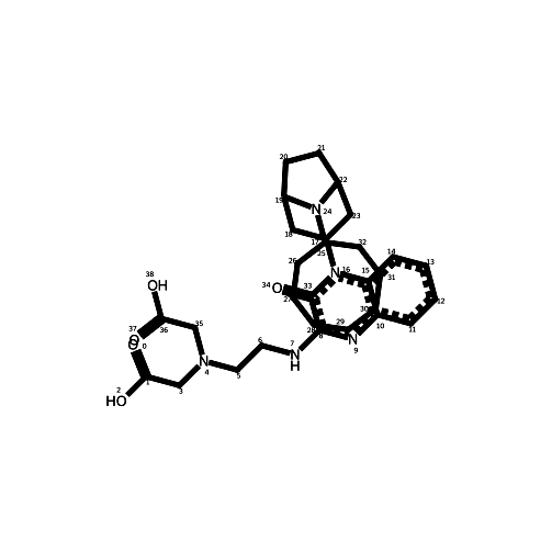 O=C(O)CN(CCNc1nc2ccccc2n(C2CC3CCC(C2)N3C2CCCCCCC2)c1=O)CC(=O)O